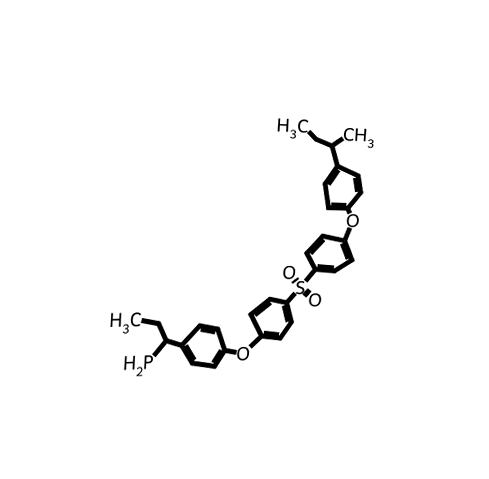 CCC(C)c1ccc(Oc2ccc(S(=O)(=O)c3ccc(Oc4ccc(C(P)CC)cc4)cc3)cc2)cc1